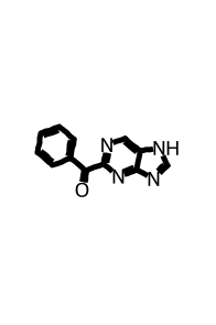 O=C(c1ccccc1)c1ncc2[nH]cnc2n1